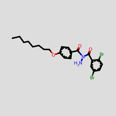 CCCCCCCCOc1ccc(C(=O)N(N)C(=O)c2cc(Br)ccc2Br)cc1